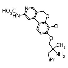 CC(C)CC(C)(N)COc1ccc2c(c1Cl)OCc1cnc(NC(=O)O)cc1-2